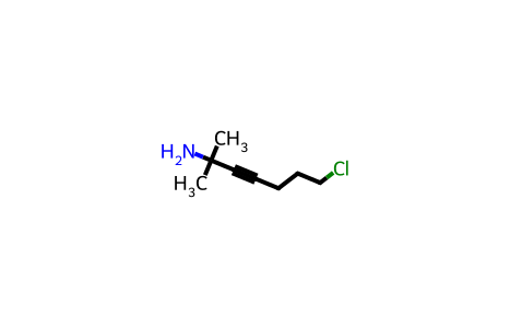 CC(C)(N)C#CCCCCl